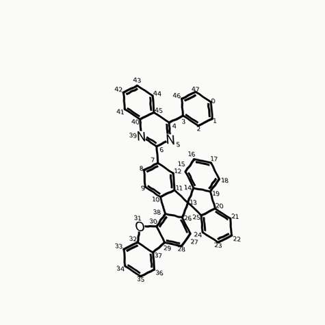 c1ccc(-c2nc(-c3ccc4c(c3)C3(c5ccccc5-c5ccccc53)c3ccc5c(oc6ccccc65)c3-4)nc3ccccc23)cc1